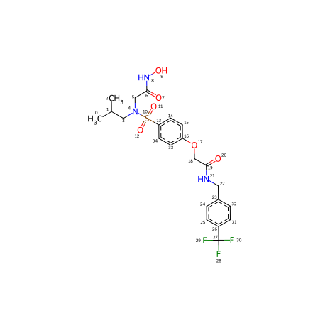 CC(C)CN(CC(=O)NO)S(=O)(=O)c1ccc(OCC(=O)NCc2ccc(C(F)(F)F)cc2)cc1